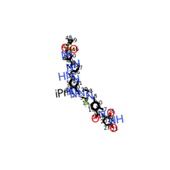 CC(C)n1nc(N2CCN(Cc3cc4c(cc3F)C(=O)N(C3CCC(=O)NC3=O)C4)CC2)c2cnc(Nc3ccnc(-c4cnn(S(=O)(=O)C5CC5)c4)n3)cc21